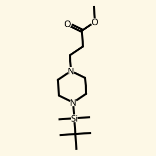 COC(=O)CCN1CCN([Si](C)(C)C(C)(C)C)CC1